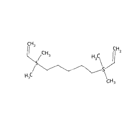 C=CS(C)(C)CCCCCS(C)(C)C=C